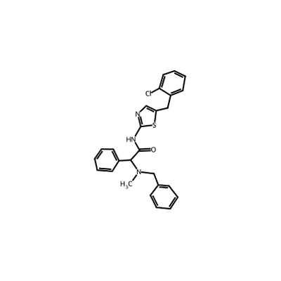 CN(Cc1ccccc1)C(C(=O)Nc1ncc(Cc2ccccc2Cl)s1)c1ccccc1